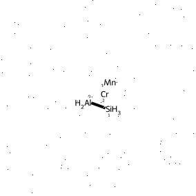 [AlH2][SiH3].[Cr].[Mn]